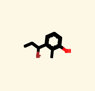 CCC(Br)c1cccc(O)c1C